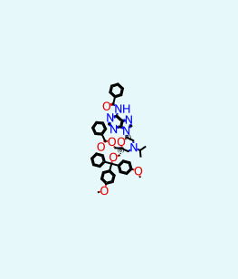 COc1ccc(C(OC[C@@]2(COC(=O)c3ccccc3)CN(C(C)C)C[C@H](n3cnc4c(NC(=O)c5ccccc5)ncnc43)O2)(c2ccccc2)c2ccc(OC)cc2)cc1